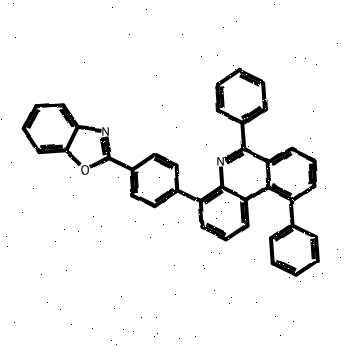 c1ccc(-c2nc3c(-c4ccc(-c5nc6ccccc6o5)cc4)cccc3c3c(-c4ccccc4)cccc23)cc1